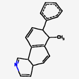 CC1C2=C(C=CC1c1ccccc1)C1C=NC=CC1C=C2